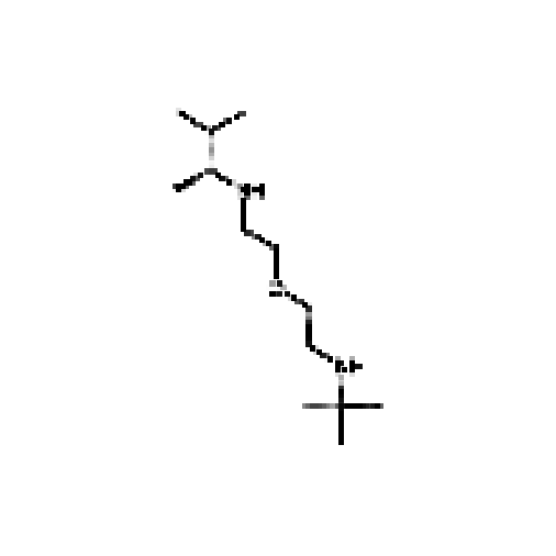 CC(C)[C@H](C)NCCOCCNC(C)(C)C